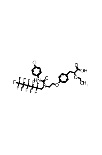 CCOC(Cc1ccc(OCCN(CC(F)(F)C(F)(F)C(F)(F)C(F)(F)C(F)(F)F)C(=O)Nc2ccc(Cl)cc2)cc1)C(=O)O